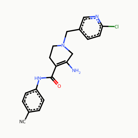 N#Cc1ccc(NC(=O)C2=C(N)CN(Cc3ccc(Cl)nc3)CC2)cc1